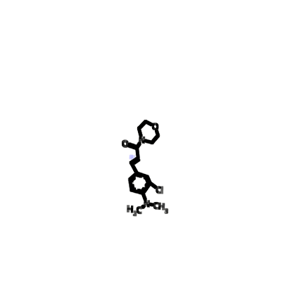 CN(C)c1ccc(/C=C/C(=O)N2CCOCC2)cc1Cl